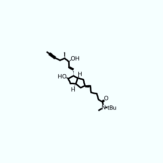 CC#CC[C@@H](C)[C@H](O)/C=C/[C@@H]1[C@H]2C/C(=C/CCCC(=O)N(C)C(C)(C)C)C[C@H]2C[C@H]1O